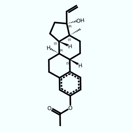 C=C[C@]1(O)CC[C@H]2[C@@H]3CCc4cc(OC(C)=O)ccc4[C@H]3CC[C@@]21C